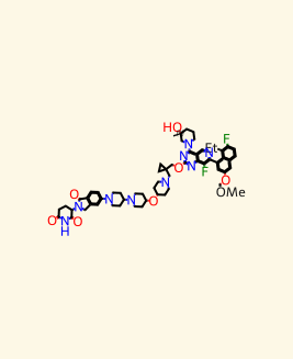 CCc1c(F)ccc2cc(OCOC)cc(-c3ncc4c(N5CCC[C@@](C)(O)C5)nc(OCC5(CN6CCC(OC7CCN(C8CCN(c9ccc%10c(c9)CN(C9CCC(=O)NC9=O)C%10=O)CC8)CC7)CC6)CC5)nc4c3F)c12